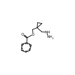 NNCC1(COC(=O)c2ccccc2)CC1